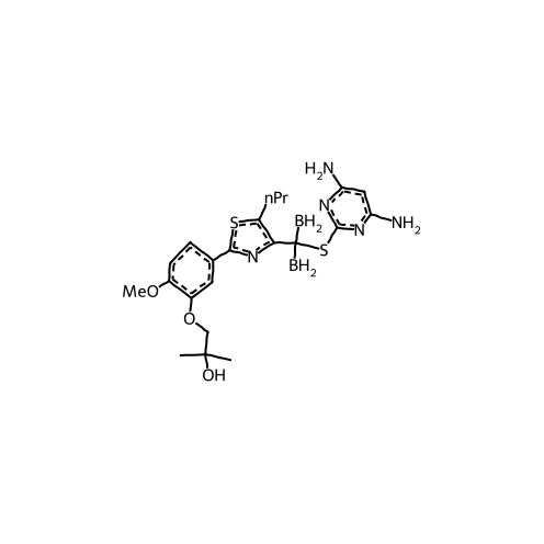 BC(B)(Sc1nc(N)cc(N)n1)c1nc(-c2ccc(OC)c(OCC(C)(C)O)c2)sc1CCC